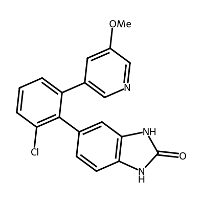 COc1cncc(-c2cccc(Cl)c2-c2ccc3[nH]c(=O)[nH]c3c2)c1